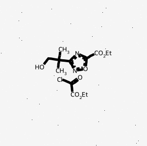 CCOC(=O)C(=O)Cl.CCOC(=O)c1nc(C(C)(C)CO)no1